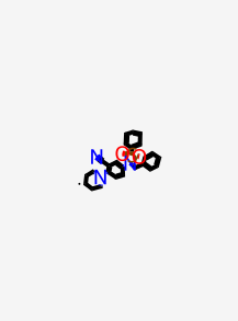 N#Cc1cc(N(Cc2ccccc2)S(=O)(=O)c2ccccc2)ccc1N1CC[CH]CC1